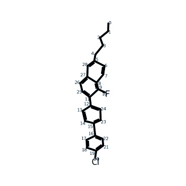 CCCCCc1ccc2c(F)c(-c3ccc(-c4ccc(Cl)cc4)cc3)ccc2c1